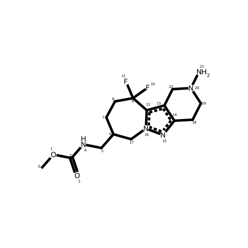 COC(=O)NCC1CCC(F)(F)c2c3c(nn2C1)CCN(N)C3